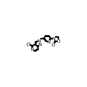 O=C1OCCN1c1ccc(Cn2cc3c(Cl)nccc3n2)cn1